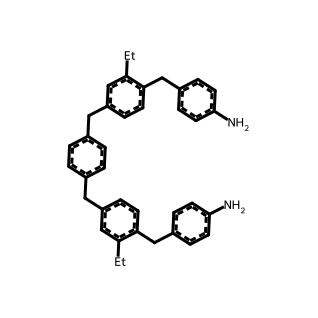 CCc1cc(Cc2ccc(Cc3ccc(Cc4ccc(N)cc4)c(CC)c3)cc2)ccc1Cc1ccc(N)cc1